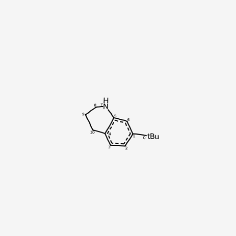 CC(C)(C)c1ccc2c(c1)NCCC2